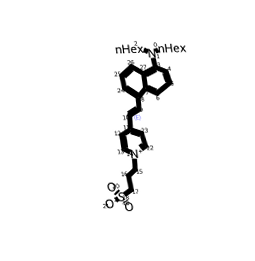 CCCCCCN(CCCCCC)c1cccc2c(/C=C/c3cc[n+](CCCS(=O)(=O)[O-])cc3)cccc12